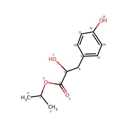 CC(C)OC(=O)C(O)Cc1ccc(O)cc1